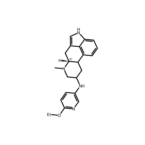 CCOc1ccc(NC2CC3c4cccc5[nH]cc(c45)C[C@H]3N(C)C2)cn1